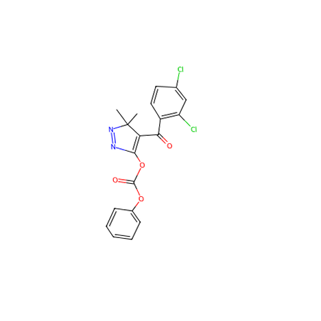 CC1(C)N=NC(OC(=O)Oc2ccccc2)=C1C(=O)c1ccc(Cl)cc1Cl